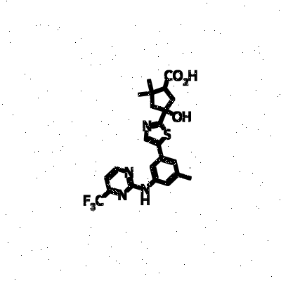 Cc1cc(Nc2nccc(C(F)(F)F)n2)cc(-c2cnc(C3(O)CC(C(=O)O)C(C)(C)C3)s2)c1